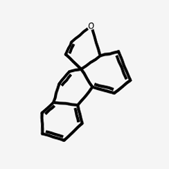 C1=CC2OC=CC23C=Cc2ccccc2C3=C1